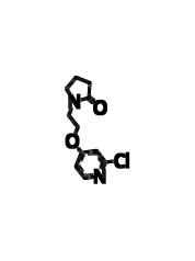 O=C1CCCN1CCOc1ccnc(Cl)c1